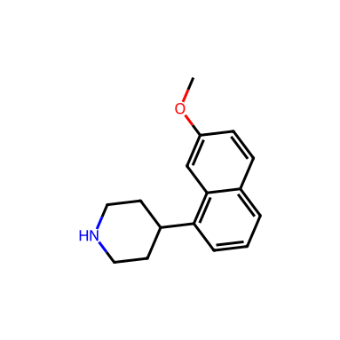 COc1ccc2cccc(C3CCNCC3)c2c1